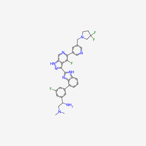 CN(C)CC(N)c1cc(F)cc(-c2cccc3[nH]c(-c4n[nH]c5cnc(-c6cncc(CN7CCC(F)(F)C7)c6)c(F)c45)nc23)c1